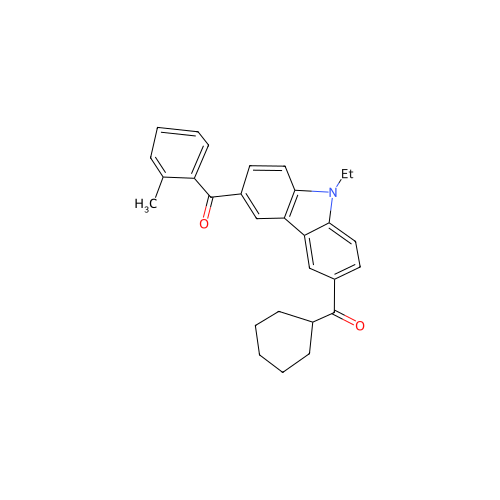 CCn1c2ccc(C(=O)c3ccccc3C)cc2c2cc(C(=O)C3CCCCC3)ccc21